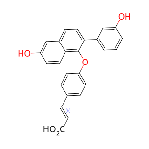 O=C(O)/C=C/c1ccc(Oc2c(-c3cccc(O)c3)ccc3cc(O)ccc23)cc1